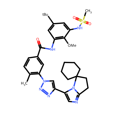 COc1c(NC(=O)c2ccc(C)c(-n3cc(-c4cnc5n4C4(CCCCC4)CC5)nn3)c2)cc(C(C)(C)C)cc1NS(C)(=O)=O